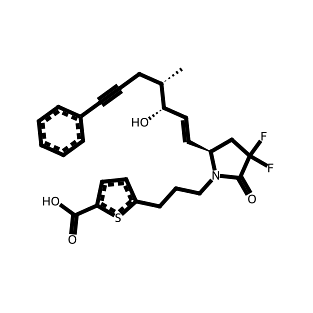 C[C@@H](CC#Cc1ccccc1)[C@@H](O)C=C[C@H]1CC(F)(F)C(=O)N1CCCc1ccc(C(=O)O)s1